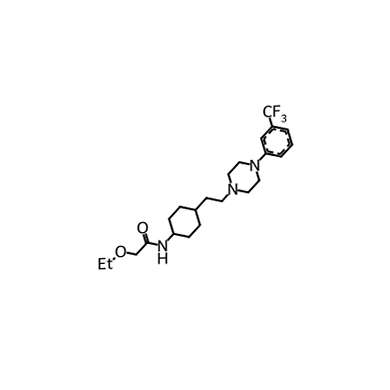 CCOCC(=O)NC1CCC(CCN2CCN(c3cccc(C(F)(F)F)c3)CC2)CC1